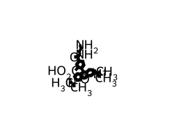 CN(C)c1ccc2c(-c3ccc(C(=O)NCCN)cc3C(=O)O)c3ccc(=[N+](C)C)cc-3oc2c1